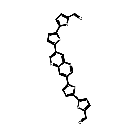 O=Cc1ccc(-c2ccc(-c3cnc4cc(-c5ccc(-c6ccc(C=O)s6)s5)cnc4c3)s2)s1